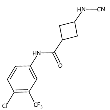 N#CNC1CC(C(=O)Nc2ccc(Cl)c(C(F)(F)F)c2)C1